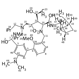 CNC(O)c1cc(-c2cccc(CN3O[C@@H](CN(CC(C)C)CC(C)C)[C@@H]([C@H](C)O)[C@H]3C(O)N[C@H]3C[C@H]4C[C@@H]([C@@H]3C)C4(C)C)c2OC)cc(N(C)C)c1